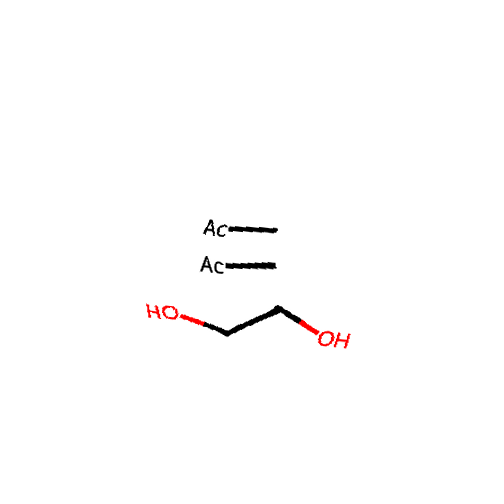 CC(C)=O.CC(C)=O.OCCO